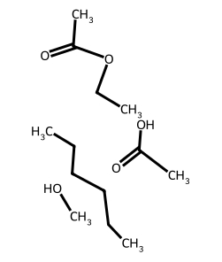 CC(=O)O.CCCCCC.CCOC(C)=O.CO